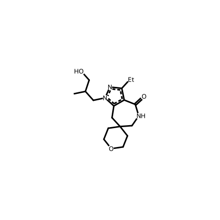 CCc1nn(CC(C)CO)c2c1C(=O)NCC1(CCOCC1)C2